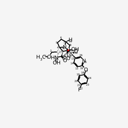 COCC[C@@]12CC[C@H](CN(S(=O)(=O)c3ccc(Oc4ccc(F)cc4)nc3)[C@H]1C(=O)NO)N2C(=O)O